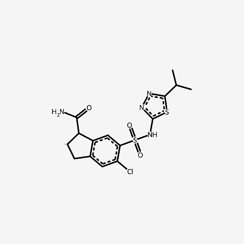 CC(C)c1nnc(NS(=O)(=O)c2cc3c(cc2Cl)C[CH]C3C(N)=O)s1